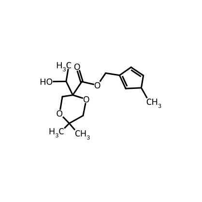 CC1C=CC(COC(=O)C2(C(C)O)COC(C)(C)CO2)=C1